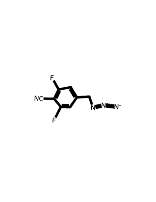 N#Cc1c(F)cc(CN=[N+]=[N-])cc1F